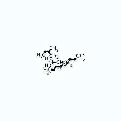 C=C(C)C.C=C/C=C/C.C=CC(=C)C.C=CC=C